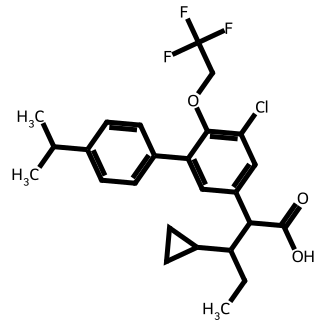 CCC(C1CC1)C(C(=O)O)c1cc(Cl)c(OCC(F)(F)F)c(-c2ccc(C(C)C)cc2)c1